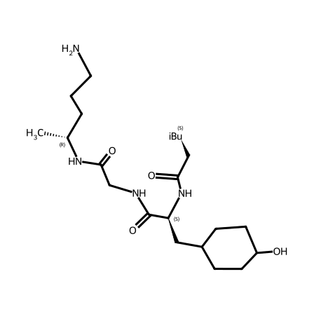 CC[C@H](C)CC(=O)N[C@@H](CC1CCC(O)CC1)C(=O)NCC(=O)N[C@H](C)CCCN